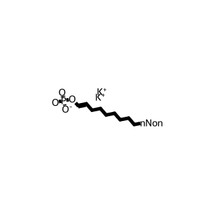 CCCCCCCCCCCCCCCCC=COP(=O)([O-])[O-].[K+].[K+]